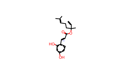 C=CC(C)(CCC=C(C)C)OC(=O)/C=C/c1ccc(O)cc1O